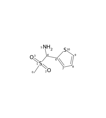 CS(=O)(=O)C(N)c1cccs1